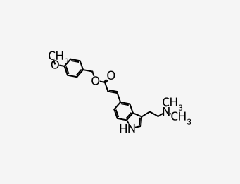 COc1ccc(COC(=O)/C=C/c2ccc3[nH]cc(CCN(C)C)c3c2)cc1